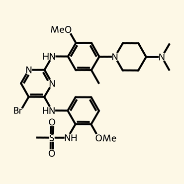 COc1cc(N2CCC(N(C)C)CC2)c(C)cc1Nc1ncc(Br)c(Nc2cccc(OC)c2NS(C)(=O)=O)n1